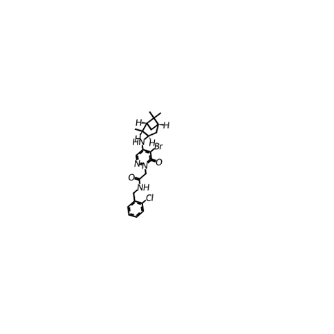 C[C@@H]1[C@H]2C[C@@H](C[C@H]1Nc1cnn(CC(=O)NCc3ccccc3Cl)c(=O)c1Br)C2(C)C